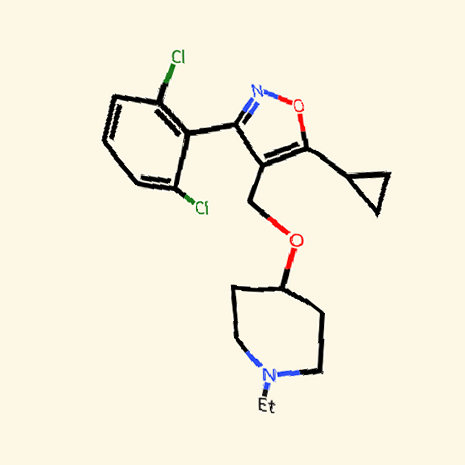 CCN1CCC(OCc2c(-c3c(Cl)cccc3Cl)noc2C2CC2)CC1